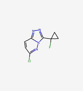 FC1(c2nnc3ccc(Cl)nn23)CC1